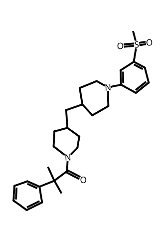 CC(C)(C(=O)N1CCC(CC2CCN(c3cccc(S(C)(=O)=O)c3)CC2)CC1)c1ccccc1